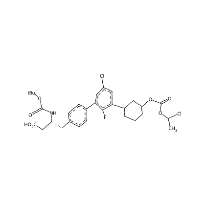 CC(Cl)OC(=O)OC1CCCC(c2cc(Cl)cc(-c3ccc(C[C@H](CC(=O)O)NC(=O)OC(C)(C)C)cc3)c2F)C1